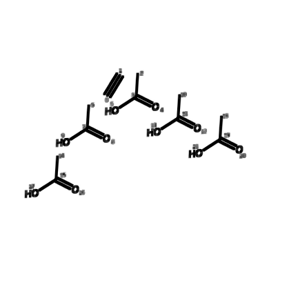 C#C.CC(=O)O.CC(=O)O.CC(=O)O.CC(=O)O.CC(=O)O